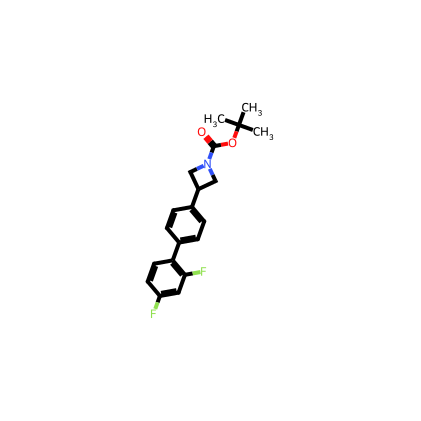 CC(C)(C)OC(=O)N1CC(c2ccc(-c3ccc(F)cc3F)cc2)C1